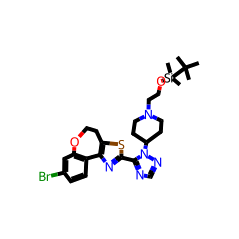 CC(C)(C)[Si](C)(C)OCCN1CCC(n2ncnc2-c2nc3c(s2)CCOc2cc(Br)ccc2-3)CC1